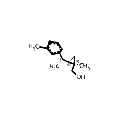 Cc1cccc([C@@H](C)[C@@H]2C[C@@]2(C)CO)c1